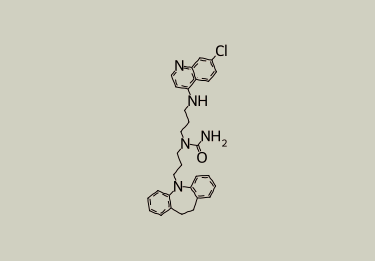 NC(=O)N(CCCNc1ccnc2cc(Cl)ccc12)CCCN1c2ccccc2CCc2ccccc21